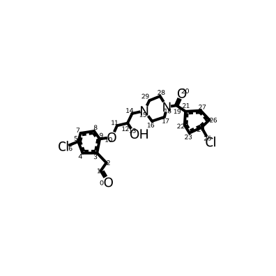 O=CCc1cc(Cl)ccc1OCC(O)CN1CCN(C(=O)c2ccc(Cl)cc2)CC1